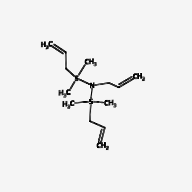 C=CCN(S(C)(C)CC=C)S(C)(C)CC=C